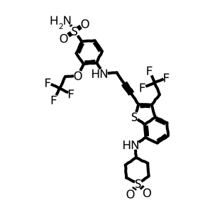 NS(=O)(=O)c1ccc(NCC#Cc2sc3c(NC4CCS(=O)(=O)CC4)cccc3c2CC(F)(F)F)c(OCC(F)(F)F)c1